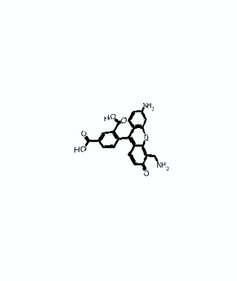 NCc1c2oc3cc(N)ccc3c(-c3ccc(C(=O)O)cc3C(=O)O)c-2ccc1=O